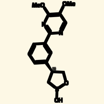 COc1cnc(-c2cccc([C@H]3COB(O)C3)c2)nc1OC